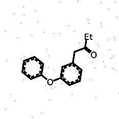 CCC(=O)Cc1cccc(Oc2ccccc2)c1